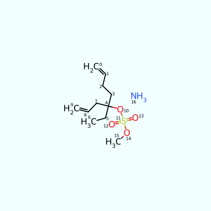 C=CCCC(CC)(CC=C)OS(=O)(=O)OC.N